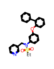 CCS(=O)(=O)N(Cc1cccnc1)c1cccc(Oc2ccccc2-c2ccccc2)c1